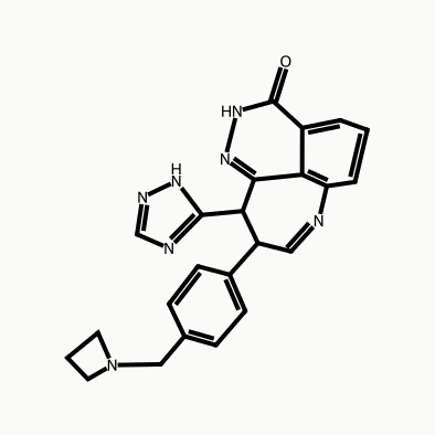 O=c1[nH]nc2c3c(cccc13)N=CC(c1ccc(CN3CCC3)cc1)C2c1ncn[nH]1